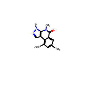 CCn1ncc2c3c(C=O)cc(C)cc3c(=O)n(C)c21